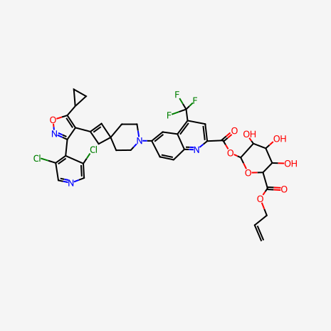 C=CCOC(=O)C1OC(OC(=O)c2cc(C(F)(F)F)c3cc(N4CCC5(C=C(c6c(-c7c(Cl)cncc7Cl)noc6C6CC6)C5)CC4)ccc3n2)C(O)C(O)C1O